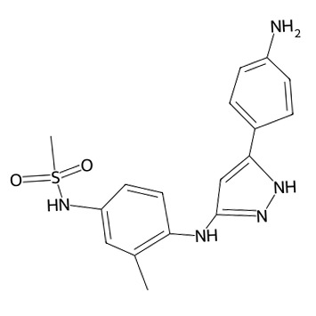 Cc1cc(NS(C)(=O)=O)ccc1Nc1cc(-c2ccc(N)cc2)[nH]n1